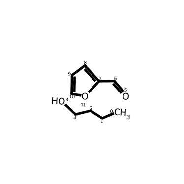 CCCCO.O=Cc1ccco1